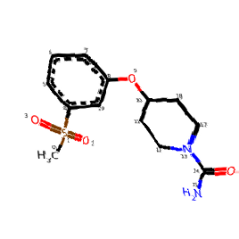 CS(=O)(=O)c1cccc(OC2CCN(C(N)=O)CC2)c1